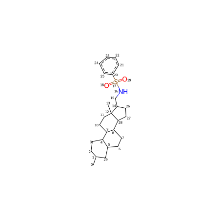 CC1CCC2C(CCC3C2CCC2(C)C(CNS(=O)(=O)c4ccccc4)CCC32)C1